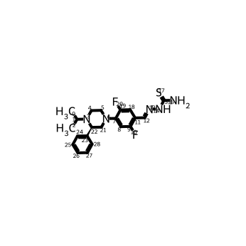 CC(C)N1CCN(c2cc(F)c(C=NNC(N)=S)cc2F)C[C@H]1c1ccccc1